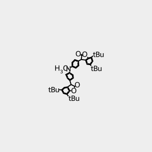 CN(c1ccc(C2C(=O)Oc3c2cc(C(C)(C)C)cc3C(C)(C)C)cc1)c1ccc(C2C(=O)Oc3c2cc(C(C)(C)C)cc3C(C)(C)C)cc1